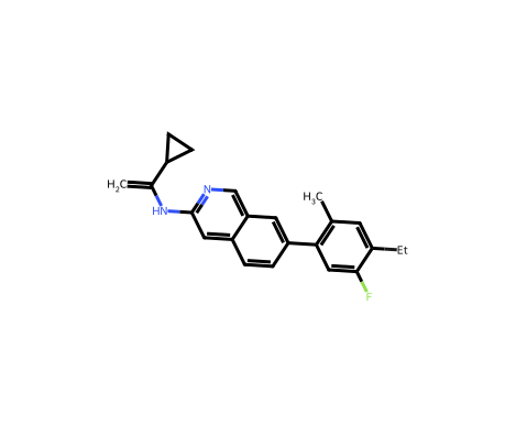 C=C(Nc1cc2ccc(-c3cc(F)c(CC)cc3C)cc2cn1)C1CC1